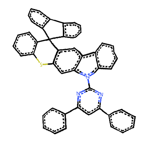 c1ccc(-c2cc(-c3ccccc3)nc(-n3c4ccccc4c4cc5c(cc43)Sc3ccccc3C53c4ccccc4-c4ccccc43)n2)cc1